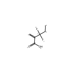 C=C(C(=O)O)C(F)(F)CC